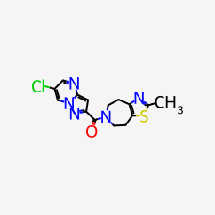 Cc1nc2c(s1)CCN(C(=O)c1cc3ncc(Cl)cn3n1)CC2